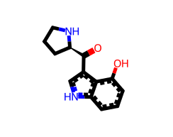 O=C(c1c[nH]c2cccc(O)c12)[C@H]1CCCN1